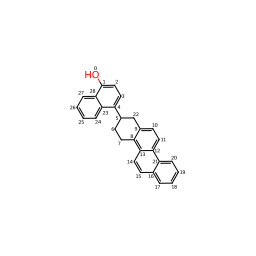 Oc1ccc(C2CCc3c(ccc4c3ccc3ccccc34)C2)c2ccccc12